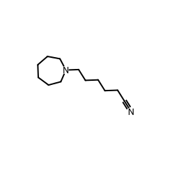 N#CCCCCCN1CCCCCC1